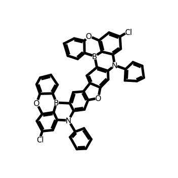 Clc1cc2c3c(c1)N(c1ccccc1)c1cc4oc5cc6c(cc5c4cc1B3c1ccccc1O2)B1c2ccccc2Oc2cc(Cl)cc(c21)N6c1ccccc1